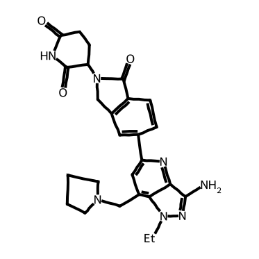 CCn1nc(N)c2nc(-c3ccc4c(c3)CN(C3CCC(=O)NC3=O)C4=O)cc(CN3CCCC3)c21